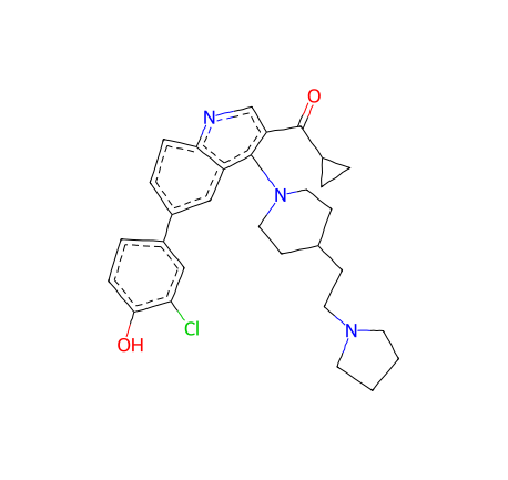 O=C(c1cnc2ccc(-c3ccc(O)c(Cl)c3)cc2c1N1CCC(CCN2CCCC2)CC1)C1CC1